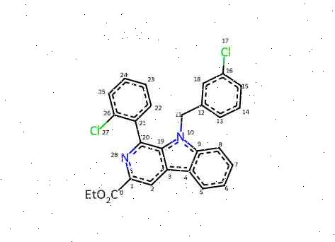 CCOC(=O)c1cc2c3ccccc3n(Cc3cccc(Cl)c3)c2c(-c2ccccc2Cl)n1